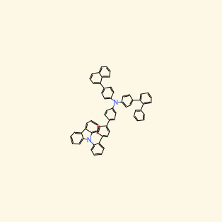 c1ccc(-c2ccccc2-c2ccc(N(c3ccc(-c4ccc(-c5ccccc5-n5c6ccccc6c6ccccc65)cc4)cc3)c3ccc(-c4cccc5ccccc45)cc3)cc2)cc1